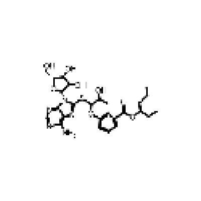 CCCC(CC)OC(=O)c1cccc(OC(Sc2nc3c(N)ncnc3n2[C@@H]2O[C@H](CO)[C@@H](O)[C@H]2O)C(C)O)c1